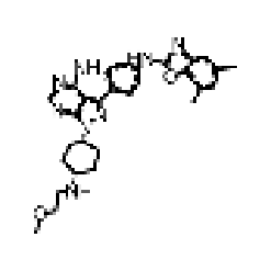 COCCN[C@H]1CC[C@@H](n2nc(-c3ccc(Nc4nc5cc(C)cc(C)c5o4)cc3)c3c(N)ncnc32)CC1